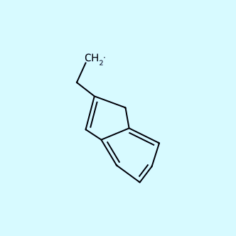 [CH2]CC1=Cc2ccccc2C1